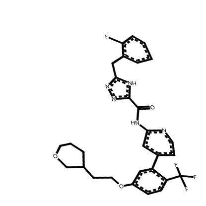 O=C(Nc1cc(-c2cc(OCCC3CCCOC3)ccc2C(F)(F)F)ccn1)c1nnc(Cc2ccccc2F)[nH]1